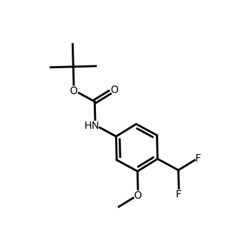 COc1cc(NC(=O)OC(C)(C)C)ccc1C(F)F